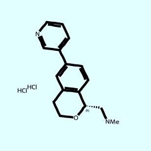 CNC[C@@H]1OCCc2cc(-c3cccnc3)ccc21.Cl.Cl